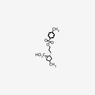 Cc1ccc(S(=O)(=O)OCCC[C@@H]2C[C@@H](C)CN2C(=O)O)cc1